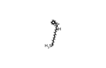 C[N+](C)(CCNCCCCCCCCCCCC[SiH3])Cc1ccccc1